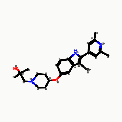 Cc1cc(-c2[nH]c3ccc(OC4CCN(CC(C)(C)O)CC4)cc3c2C(C)C)cc(C)n1